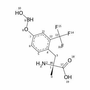 C[C@@](N)(Cc1ccc(OBO)cc1C(F)(F)F)C(=O)O